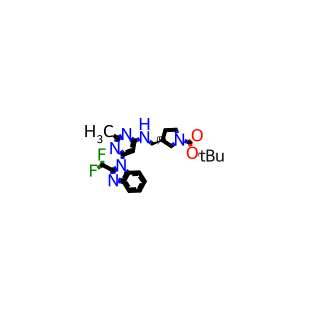 Cc1nc(NC[C@H]2CCN(C(=O)OC(C)(C)C)C2)cc(-n2c(C(F)F)nc3ccccc32)n1